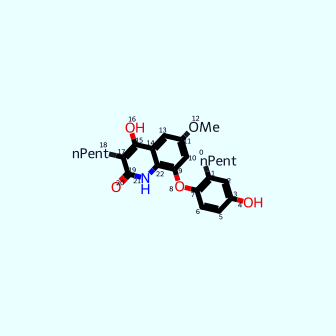 CCCCCc1cc(O)ccc1Oc1cc(OC)cc2c(O)c(CCCCC)c(=O)[nH]c12